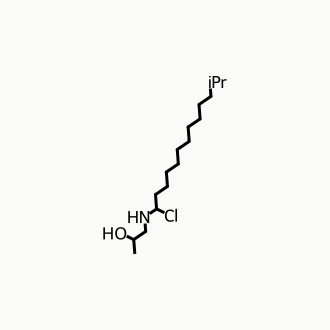 CC(C)CCCCCCCCCCC(Cl)NCC(C)O